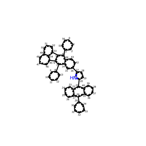 c1ccc(-c2c3c(c(-c4ccccc4)c4cc(-c5ccc(-c6c7ccccc7c(-c7ccccc7)c7ccccc67)[nH]5)ccc24)-c2cccc4cccc-3c24)cc1